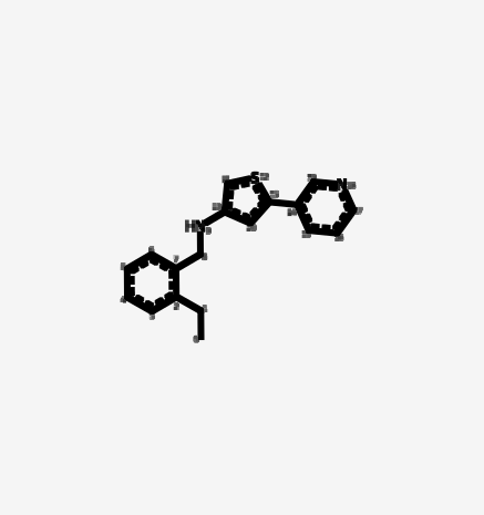 CCc1ccccc1CNc1csc(-c2cccnc2)c1